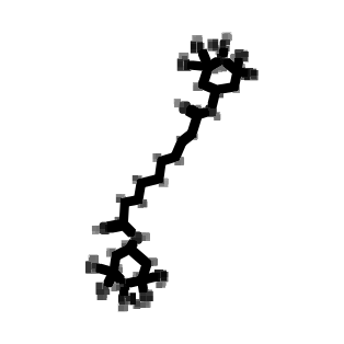 CCC1(CC)CC(OC(=O)CCCCCCCCC(=O)OC2CC(CC)(CC)N(C)C(CC)(CC)C2)CC(CC)(CC)N1C